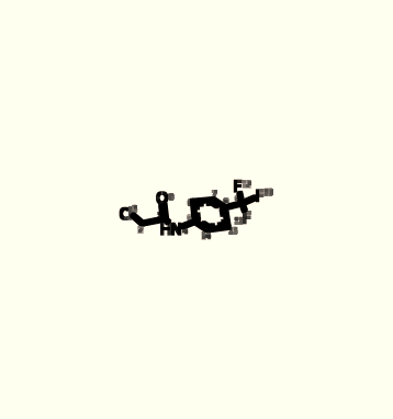 O=C(CCl)Nc1ccc(C(F)(F)F)cc1